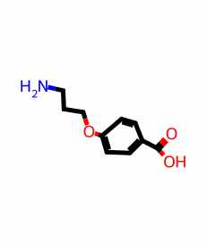 NCCCOc1ccc(C(=O)O)cc1